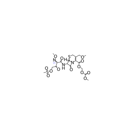 COCC1=C(C(=O)OCOC(=O)OC)N2C(=O)C(NC(=O)/C(=N\OC)C(=O)COS(C)(=O)=O)[C@H]2SC1